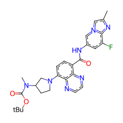 Cc1cn2cc(NC(=O)c3ccc(N4CCC(N(C)C(=O)OC(C)(C)C)C4)c4nccnc34)cc(F)c2n1